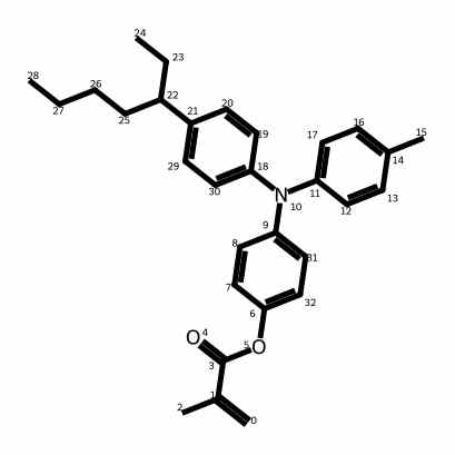 C=C(C)C(=O)Oc1ccc(N(c2ccc(C)cc2)c2ccc(C(CC)CCCC)cc2)cc1